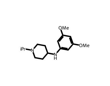 COc1cc(NC2CCN(C(C)C)CC2)cc(OC)c1